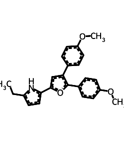 CCc1ccc(-c2cc(-c3ccc(OC)cc3)c(-c3ccc(OC)cc3)o2)[nH]1